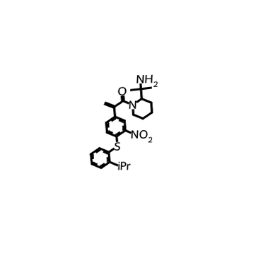 C=C(C(=O)N1CCCCC1C(C)(C)N)c1ccc(Sc2ccccc2C(C)C)c([N+](=O)[O-])c1